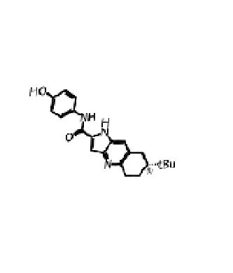 CC(C)(C)[C@@H]1CCc2nc3cc(C(=O)Nc4ccc(O)cc4)[nH]c3cc2C1